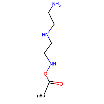 CCCCC(=O)ONCCNCCN